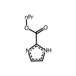 CCCOC(=O)c1ncc[nH]1